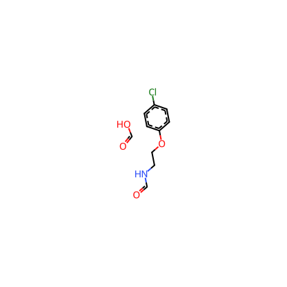 O=CNCCOc1ccc(Cl)cc1.O=CO